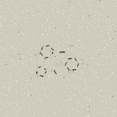 CN(C)C(=O)c1cc(Br)cc(Br)c1NC(=O)c1cc(Cl)nn1-c1ncccc1Cl